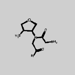 BCC(=O)N(CC(=O)C(C)C)C1COCC1B